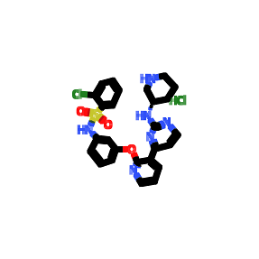 Cl.O=S(=O)(Nc1cccc(Oc2ncccc2-c2ccnc(N[C@H]3CCCNC3)n2)c1)c1ccccc1Cl